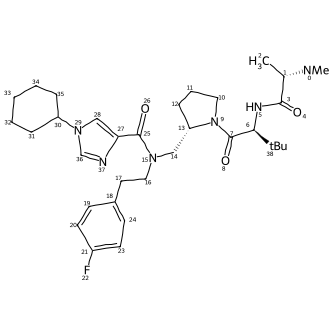 CN[C@@H](C)C(=O)N[C@H](C(=O)N1CCC[C@H]1CN(CCc1ccc(F)cc1)C(=O)c1cn(C2CCCCC2)cn1)C(C)(C)C